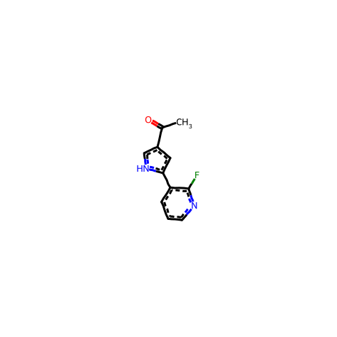 CC(=O)c1c[nH]c(-c2cccnc2F)c1